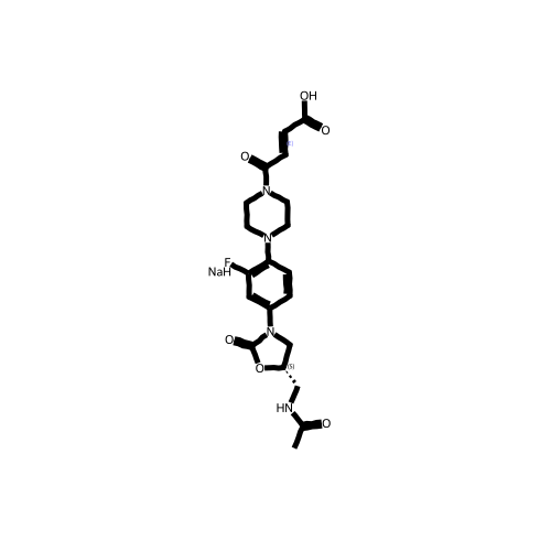 CC(=O)NC[C@H]1CN(c2ccc(N3CCN(C(=O)/C=C/C(=O)O)CC3)c(F)c2)C(=O)O1.[NaH]